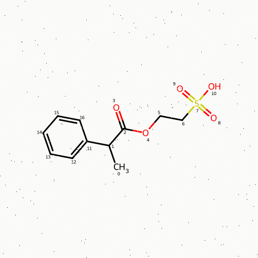 CC(C(=O)OCCS(=O)(=O)O)c1ccccc1